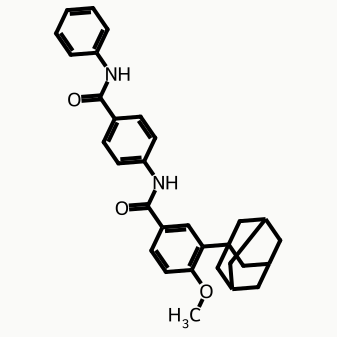 COc1ccc(C(=O)Nc2ccc(C(=O)Nc3ccccc3)cc2)cc1C12CC3CC(CC(C3)C1)C2